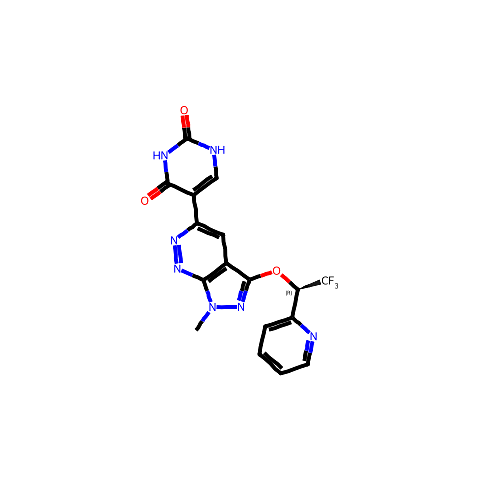 Cn1nc(O[C@H](c2ccccn2)C(F)(F)F)c2cc(-c3c[nH]c(=O)[nH]c3=O)nnc21